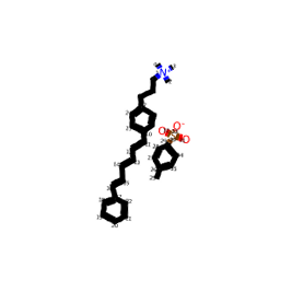 C[N+](C)(C)CCCc1ccc(C=CC=CC=Cc2ccccc2)cc1.Cc1ccc(S(=O)(=O)[O-])cc1